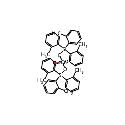 Cc1ccccc1[Si]([O][Cr](=[O])(=[O])[O][Si](c1ccccc1C)(c1ccccc1C)c1ccccc1C)(c1ccccc1C)c1ccccc1C